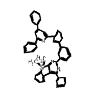 C[Si]1(C)c2ccccc2-c2c(-c3ccccc3)nc(-c3cccc(-c4cccc(-c5cc(-c6ccccc6)cc(-c6ccccc6)n5)c4)c3)nc21